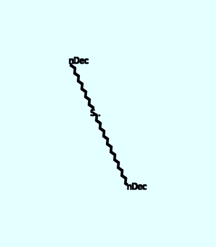 CCCCCCCCCCCCCCCCCCCCCCCCCCC[CH]SCCCCCCCCCCCCCCCCCCCCCC